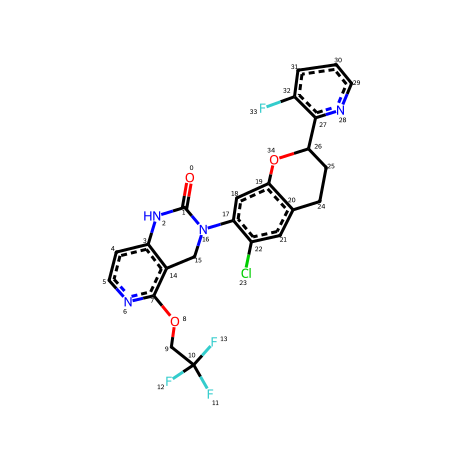 O=C1Nc2ccnc(OCC(F)(F)F)c2CN1c1cc2c(cc1Cl)CCC(c1ncccc1F)O2